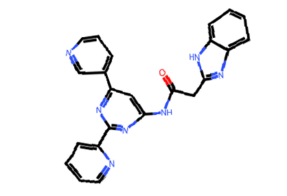 O=C(Cc1nc2ccccc2[nH]1)Nc1cc(-c2cccnc2)nc(-c2ccccn2)n1